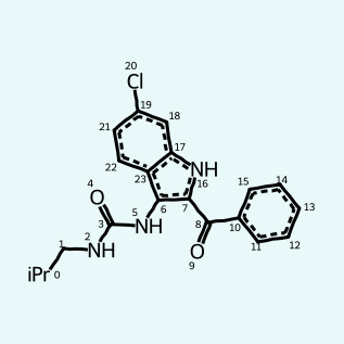 CC(C)CNC(=O)Nc1c(C(=O)c2ccccc2)[nH]c2cc(Cl)ccc12